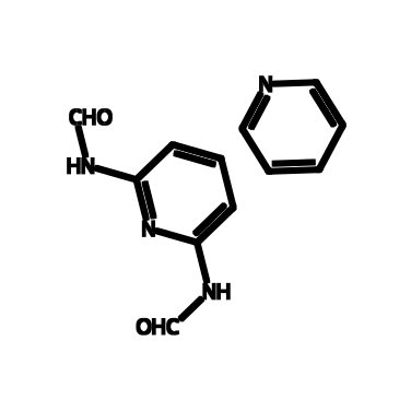 O=CNc1cccc(NC=O)n1.c1ccncc1